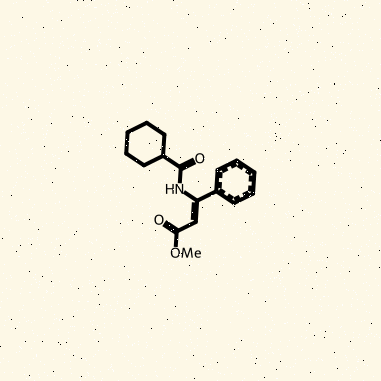 COC(=O)/C=C(\NC(=O)C1CCCCC1)c1ccccc1